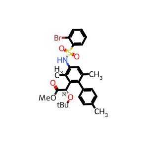 COC(=O)[C@@H](OC(C)(C)C)c1c(C)c(NS(=O)(=O)c2ccccc2Br)cc(C)c1-c1ccc(C)cc1